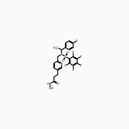 CC(c1ccc(F)cc1)N(Cc1ccc(CCC(=O)NO)cn1)S(=O)(=O)c1c(F)c(F)c(F)c(F)c1F